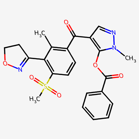 Cc1c(C(=O)c2cnn(C)c2OC(=O)c2ccccc2)ccc(S(C)(=O)=O)c1C1=NOCC1